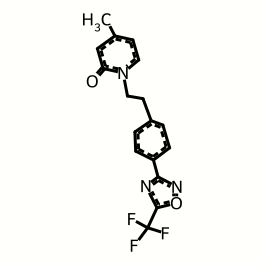 Cc1ccn(CCc2ccc(-c3noc(C(F)(F)F)n3)cc2)c(=O)c1